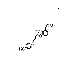 COCc1ccccc1CN(C)C(=O)CCCSc1ccc(O)cc1